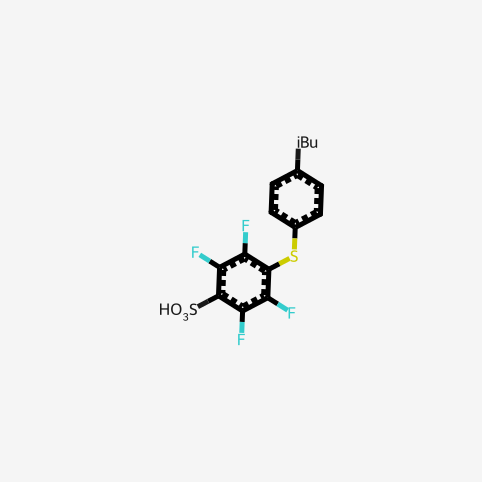 CCC(C)c1ccc(Sc2c(F)c(F)c(S(=O)(=O)O)c(F)c2F)cc1